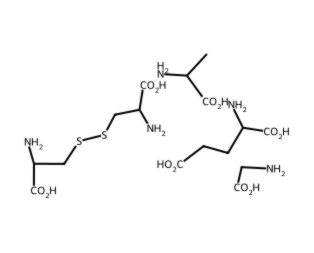 CC(N)C(=O)O.NC(CCC(=O)O)C(=O)O.NC(CSSCC(N)C(=O)O)C(=O)O.NCC(=O)O